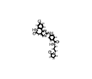 O=C1Cc2cnc(Nc3ccc(C(=O)NCCCN4CCCC4=O)cc3)nc2-c2ccc(Cl)cc2N1